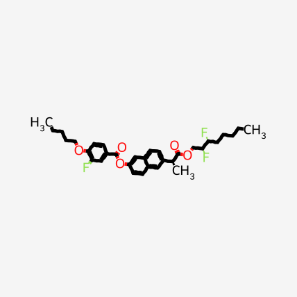 CCCCCOc1ccc(C(=O)Oc2ccc3cc([C@H](C)C(=O)OC[C@@H](F)[C@H](F)CCCCC)ccc3c2)cc1F